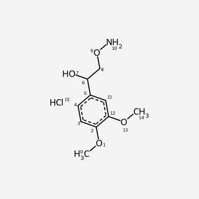 COc1ccc(C(O)CON)cc1OC.Cl